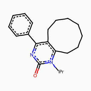 CC(C)n1c2c(c(-c3ccccc3)nc1=O)CCCCCCC2